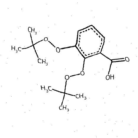 CC(C)(C)OOc1cccc(C(=O)O)c1OOC(C)(C)C